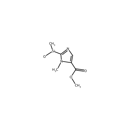 COC(=O)c1cnc([S+](C)[O-])n1C